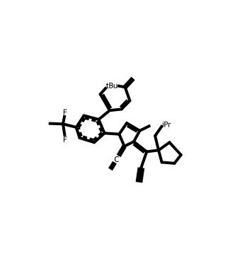 C#C/C(=C1\C(=C=C)C(c2ccc(C(C)(F)F)cc2C(/C=C\C(=C)C(C)(C)C)=C/C)C=C1C)C1(CC(C)C)CCCC1